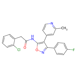 Cc1cc(-c2c(-c3ccc(F)cc3)noc2NC(=O)Cc2ccccc2Cl)ccn1